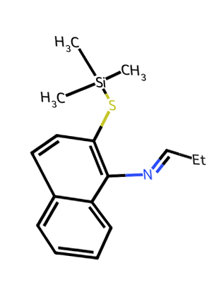 CCC=Nc1c(S[Si](C)(C)C)ccc2ccccc12